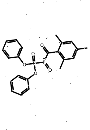 Cc1cc(C)c(C(=O)[PH](=O)P(=O)(Oc2ccccc2)Oc2ccccc2)c(C)c1